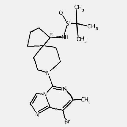 Cc1nc(N2CCC3(CCC[C@H]3N[S+]([O-])C(C)(C)C)CC2)n2ccnc2c1Br